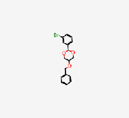 Brc1cccc(C2OCC(OCc3ccccc3)CO2)c1